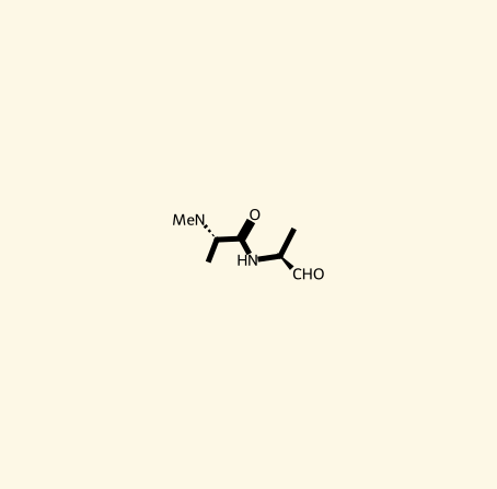 CN[C@@H](C)C(=O)N[C@@H](C)C=O